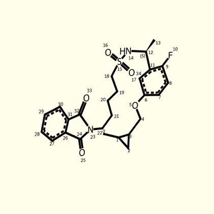 CC1CC1COc1ccc(F)c([C@H](C)NS(=O)(=O)CCCCCN2C(=O)c3ccccc3C2=O)c1